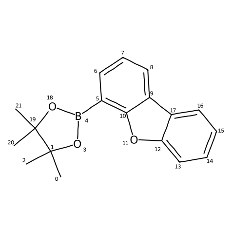 CC1(C)OB(c2cccc3c2oc2ccccc23)OC1(C)C